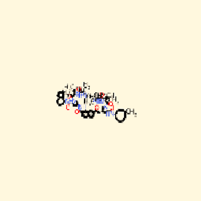 C=C1/C=C\C=C/C[C@H](NC(=O)[C@@H]2C[C@H](CC(=O)c3ccc4ccc(C(=O)N[C@H]5C[C@@H](C(=O)N[C@@H]6CCCc7ccccc76)N(C(=O)[C@@H](NC(=O)[C@H](C)NC)C(C)(C)C)C5)cc4c3)CN2C(=O)[C@@H](NC(=O)[C@H](C)NC)C(C)(C)C)CCC1